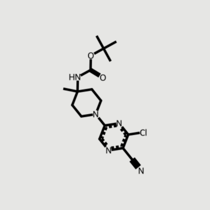 CC1(NC(=O)OC(C)(C)C)CCN(c2cnc(C#N)c(Cl)n2)CC1